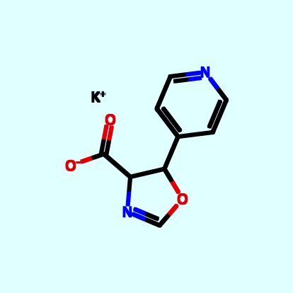 O=C([O-])C1N=COC1c1ccncc1.[K+]